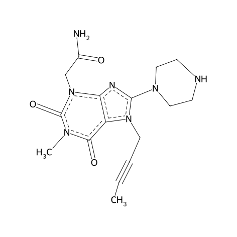 CC#CCn1c(N2CCNCC2)nc2c1c(=O)n(C)c(=O)n2CC(N)=O